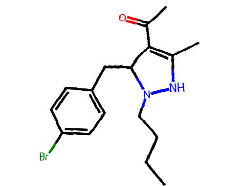 CCCCN1NC(C)=C(C(C)=O)C1Cc1ccc(Br)cc1